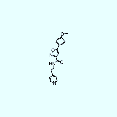 COc1ccc(-c2cc(C(=O)NCCc3ccncc3)no2)cc1